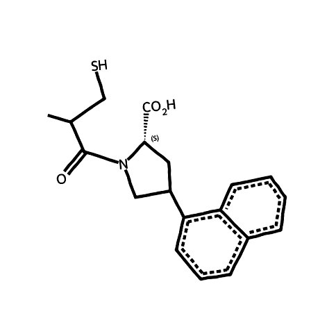 CC(CS)C(=O)N1CC(c2cccc3ccccc23)C[C@H]1C(=O)O